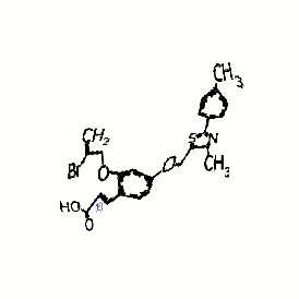 C=C(Br)COc1cc(OCc2sc(-c3ccc(C)cc3)nc2C)ccc1/C=C/C(=O)O